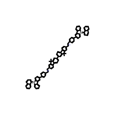 CC1(C)c2cc(/C=C/c3ccc(-c4ccc5c(c4)c4ccccc4n5-c4cccc5ccccc45)cc3)ccc2-c2ccc(-c3ccc4c(c3)C(C)(C)c3cc(/C=C/c5ccc(-c6ccc7c(c6)c6ccccc6n7-c6cccc7ccccc67)cc5)ccc3-4)cc21